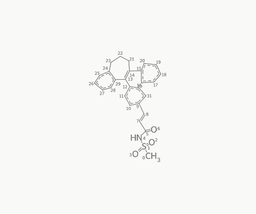 CS(=O)(=O)NC(=O)C=Cc1ccc(C2=C(c3ccccc3)CCCc3ccccc32)cc1